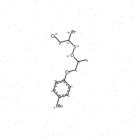 CC(COc1ccc(C(C)(C)C)cc1)OSC(CCl)C(C)C